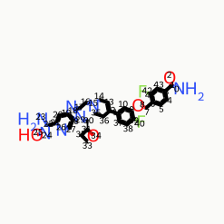 NC(=O)c1ccc(COc2cc(C3=CCN(Cc4nc5cc(C(N)=NO)ncc5n4C[C@@H]4CCO4)CC3)ccc2F)c(F)c1